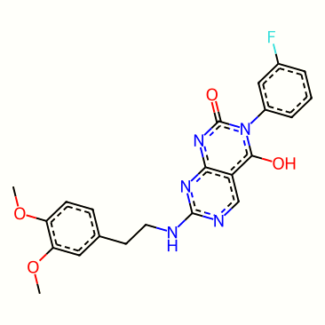 COc1ccc(CCNc2ncc3c(O)n(-c4cccc(F)c4)c(=O)nc3n2)cc1OC